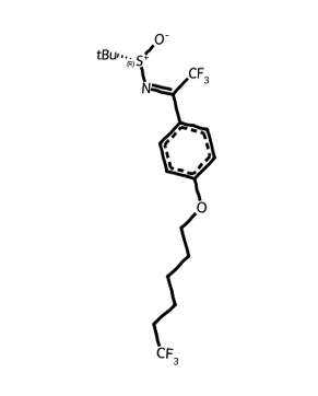 CC(C)(C)[S@+]([O-])N=C(c1ccc(OCCCCCC(F)(F)F)cc1)C(F)(F)F